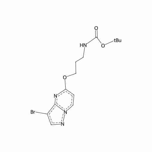 CC(C)(C)OC(=O)NCCCOc1ccn2ncc(Br)c2n1